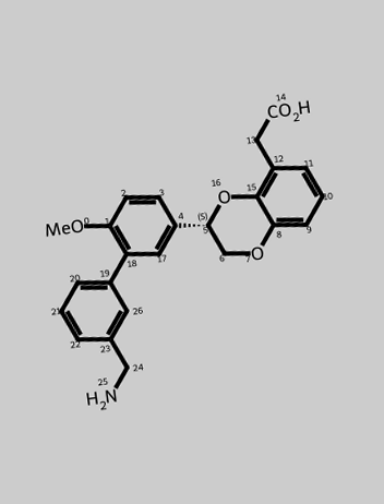 COc1ccc([C@H]2COc3cccc(CC(=O)O)c3O2)cc1-c1cccc(CN)c1